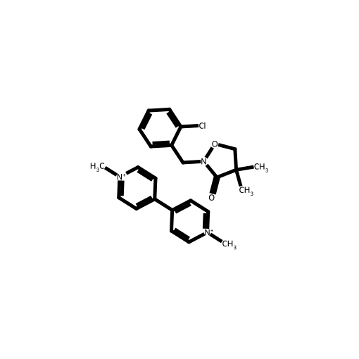 CC1(C)CON(Cc2ccccc2Cl)C1=O.C[n+]1ccc(-c2cc[n+](C)cc2)cc1